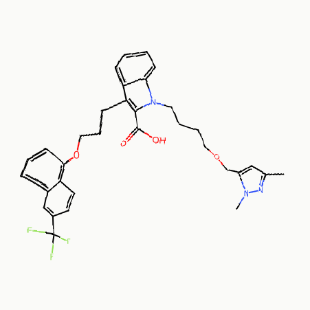 Cc1cc(COCCCCn2c(C(=O)O)c(CCCOc3cccc4cc(C(F)(F)F)ccc34)c3ccccc32)n(C)n1